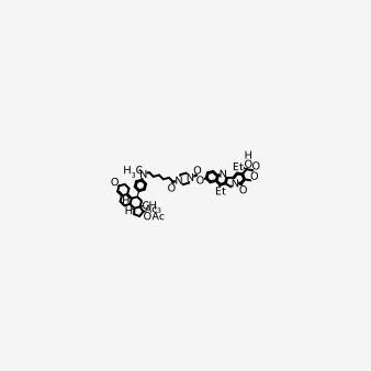 CCc1c2c(nc3ccc(OC(=O)N4CCN(C(=O)CCCCCN(C)c5ccc([C@H]6C[C@@]7(C)[C@@H](CC[C@]7(OC(C)=O)C(C)=O)[C@@H]7CCC8=CC(=O)CCC8=C76)cc5)CC4)cc13)-c1cc3c(c(=O)n1C2)COC(=O)[C@]3(O)CC